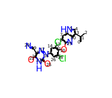 C=C(C)c1c[nH]c2ccc(Oc3c(Cl)cc(-n4nc(C#N)c(=O)[nH]c4=O)cc3Cl)nc12